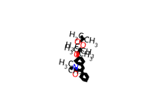 CC(C)C(=O)OC(C)(C)C(C)(C)Oc1ccc2cc(-c3ccccc3)c(=O)n(C(C)C)c2c1